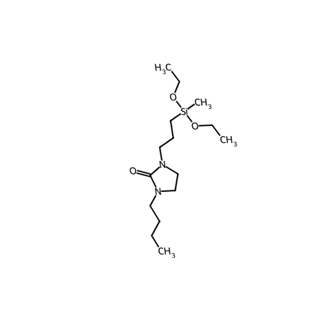 CCCCN1CCN(CCC[Si](C)(OCC)OCC)C1=O